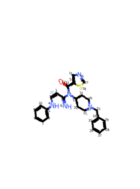 N=C(/C=C\Nc1ccccc1)N(C(=O)c1cncs1)C1CCN(Cc2ccccc2)CC1